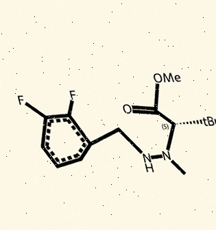 COC(=O)[C@@H](N(C)NCc1cccc(F)c1F)C(C)(C)C